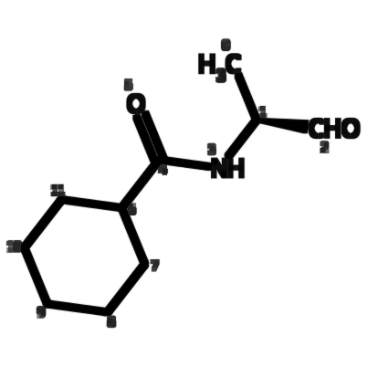 C[C@@H](C=O)NC(=O)C1CCCCC1